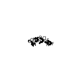 COC(=O)c1ccnn1-c1cc(-n2c(C)cc(OCc3ncc(F)cc3F)c(Cl)c2=O)c(C)cn1